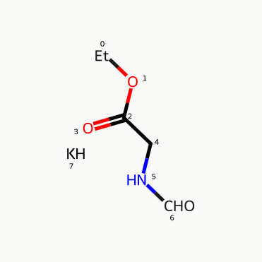 CCOC(=O)CNC=O.[KH]